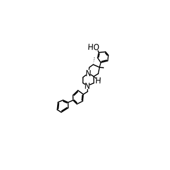 C[C@H]1CN2CCN(Cc3ccc(-c4ccccc4)cc3)C[C@H]2CC1(C)c1cccc(O)c1